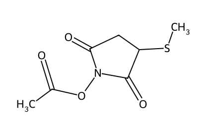 CSC1CC(=O)N(OC(C)=O)C1=O